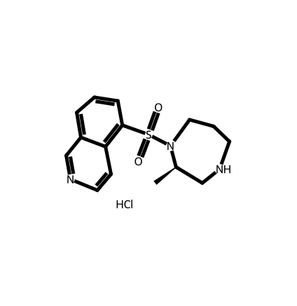 C[C@@H]1CNCCCN1S(=O)(=O)c1cccc2cnccc12.Cl